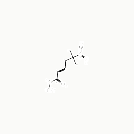 CCCOC(=O)C=CCC(C)(C)[SH](=O)=O